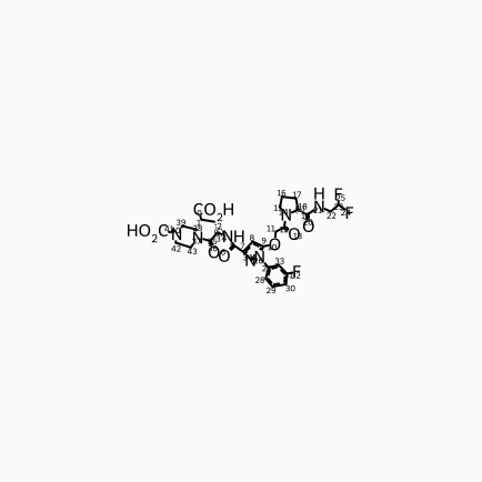 O=C(O)CC[C@H](NC(=O)c1cc(OCC(=O)N2CCC[C@H]2C(=O)NCC(F)F)n(-c2cccc(F)c2)n1)C(=O)N1CCN(C(=O)O)CC1